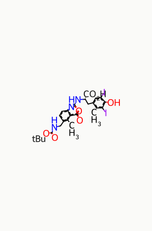 Cc1c(C[C@H](Nc2nc3ccc(CNC(=O)OC(C)(C)C)c(C)c3c(=O)o2)C(=O)O)cc(I)c(O)c1I